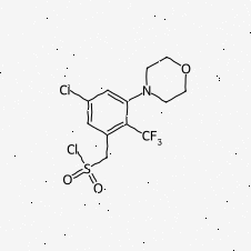 O=S(=O)(Cl)Cc1cc(Cl)cc(N2CCOCC2)c1C(F)(F)F